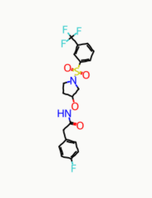 O=C(Cc1ccc(F)cc1)NOC1CCN(S(=O)(=O)c2cccc(C(F)(F)F)c2)C1